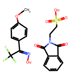 COc1ccc(/C(=N/O)C(F)(F)F)cc1.O=C1c2ccccc2C(=O)N1CCS(=O)(=O)O